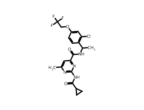 Cc1cc(C(=O)NC(C)c2ccc(OCC(F)(F)F)cc2Cl)nc(NC(=O)C2CC2)n1